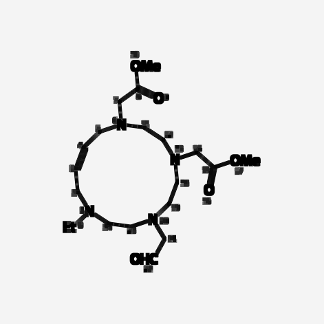 CCN1CC=CCN(CC(=O)OC)CCN(CC(=O)OC)CCN(CC=O)CC1